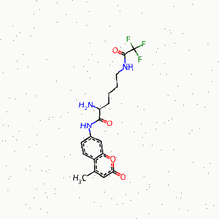 Cc1cc(=O)oc2cc(NC(=O)C(N)CCCCNC(=O)C(F)(F)F)ccc12